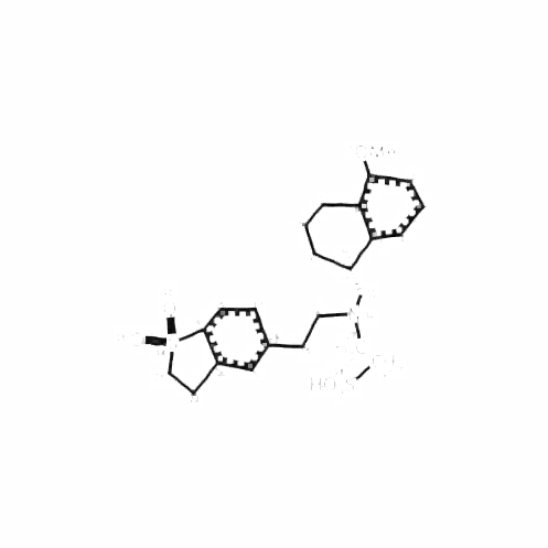 COc1cccc2c1CCC[C@H]2CN(C)CCc1ccc2c(c1)CCS2(=O)=O.CS(=O)(=O)O